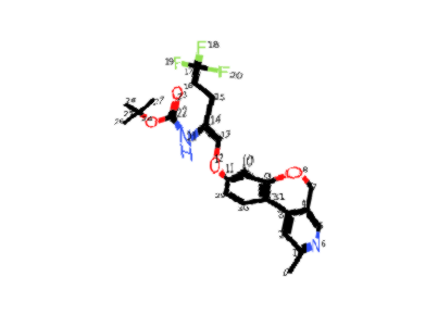 Cc1cc2c(cn1)COc1cc(OCC(CCC(F)(F)F)NC(=O)OC(C)(C)C)ccc1-2